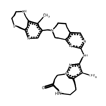 Cc1c(N2CCc3cnc(Nc4nn5c(c4C)CCNC(=O)C5)nc3C2)cnc2c1NCCO2